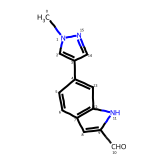 Cn1cc(-c2ccc3cc(C=O)[nH]c3c2)cn1